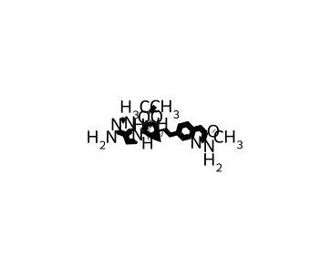 COc1cc2ccc(CC[C@@]34C[C@@H]3[C@@H](n3ccc5c(N)ncnc53)[C@@H]3OC(C)(C)O[C@@H]34)cc2nc1N